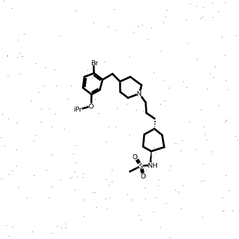 CC(C)Oc1ccc(Br)c(CC2CCN(CCC[C@H]3CC[C@H](NS(C)(=O)=O)CC3)CC2)c1